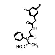 C[C@@H](C(=O)O)N(C(=O)CNC(=O)Cc1cc(F)cc(F)c1)c1ccccc1